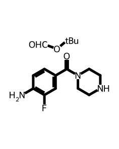 CC(C)(C)OC=O.Nc1ccc(C(=O)N2CCNCC2)cc1F